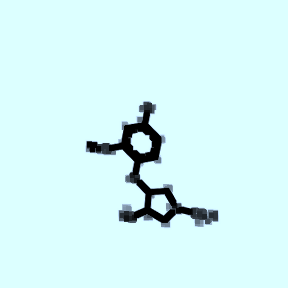 COc1cc(Br)ccc1OC1CN(C(=O)O)CC1O